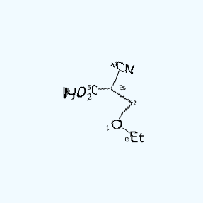 CCOCC(C#N)C(=O)O